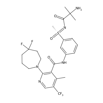 Cc1c(C(F)(F)F)cnc(N2CCCC(F)(F)CC2)c1C(=O)Nc1cccc([S@@](C)(=O)=NC(=O)C(C)(C)N)c1